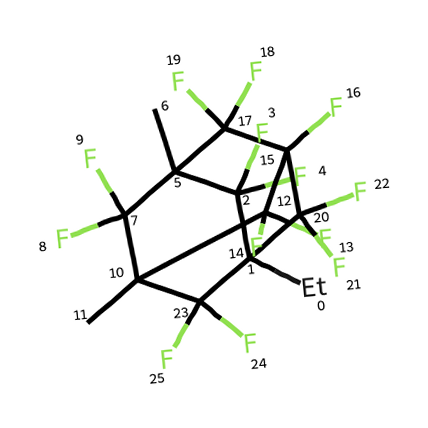 CCC12C(F)(F)C3(C)C(F)(F)C(C)(C(F)(F)C(F)(C3(F)F)C1(F)F)C2(F)F